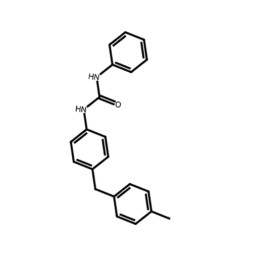 Cc1ccc(Cc2ccc(NC(=O)Nc3ccccc3)cc2)cc1